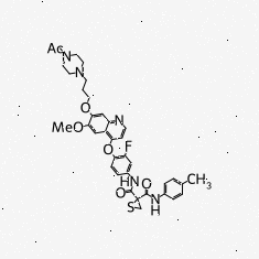 COc1cc2c(Oc3ccc(NC(=O)C4(C(=O)Nc5ccc(C)cc5)CS4)cc3F)ccnc2cc1OCCCN1CCN(C(C)=O)CC1